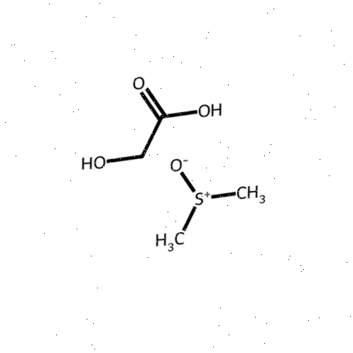 C[S+](C)[O-].O=C(O)CO